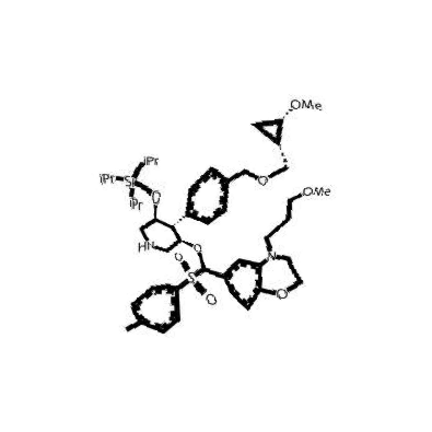 COCCCN1CCOc2ccc(C(O[C@H]3CNC[C@@H](O[Si](C(C)C)(C(C)C)C(C)C)[C@@H]3c3ccc(COC[C@@H]4C[C@@H]4OC)cc3)S(=O)(=O)c3ccc(C)cc3)cc21